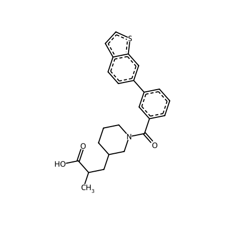 CC(CC1CCCN(C(=O)c2cccc(-c3ccc4ccsc4c3)c2)C1)C(=O)O